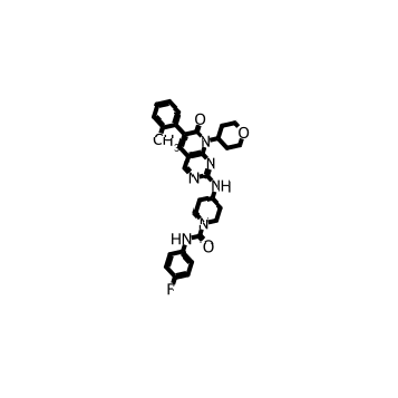 Cc1ccccc1-c1cc2cnc(NC3CCN(C(=O)Nc4ccc(F)cc4)CC3)nc2n(C2CCOCC2)c1=O